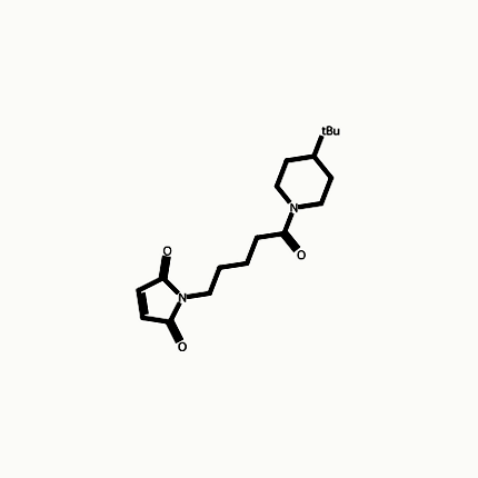 CC(C)(C)C1CCN(C(=O)CCCCN2C(=O)C=CC2=O)CC1